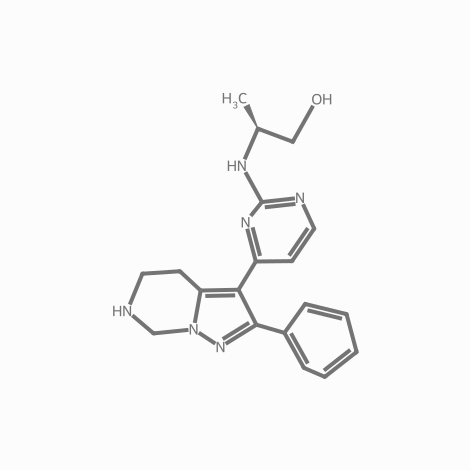 C[C@@H](CO)Nc1nccc(-c2c(-c3ccccc3)nn3c2CCNC3)n1